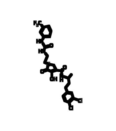 CC(CCc1ccc(Cl)c(Cl)c1)NC(=O)C1=C(O)C(=O)N(CCNC(=O)Nc2cccc(C(F)(F)F)c2)C1